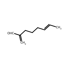 C=C(C=O)CCCC=CC